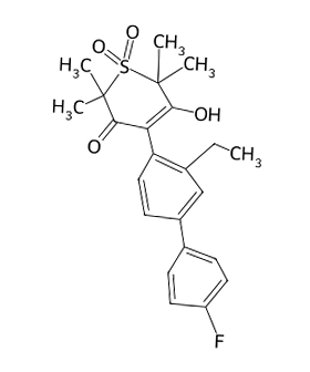 CCc1cc(-c2ccc(F)cc2)ccc1C1=C(O)C(C)(C)S(=O)(=O)C(C)(C)C1=O